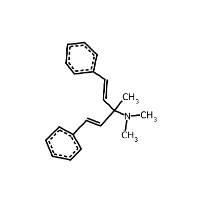 CN(C)C(C)(C=Cc1ccccc1)C=Cc1ccccc1